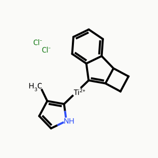 Cc1cc[nH][c]1[Ti+2][C]1=C2CCC2c2ccccc21.[Cl-].[Cl-]